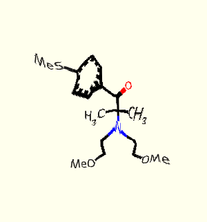 COCCN(CCOC)C(C)(C)C(=O)c1ccc(SC)cc1